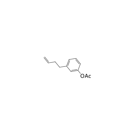 C=CCCc1cccc(OC(C)=O)c1